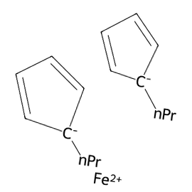 CCC[c-]1cccc1.CCC[c-]1cccc1.[Fe+2]